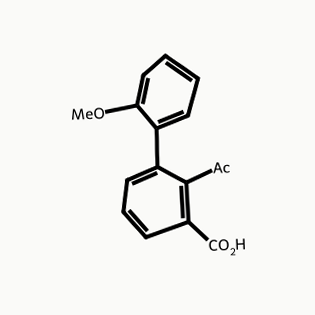 COc1ccccc1-c1cccc(C(=O)O)c1C(C)=O